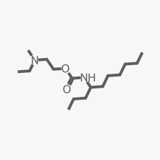 CCCCCCC(CCC)NC(=O)OCCN(C)CC